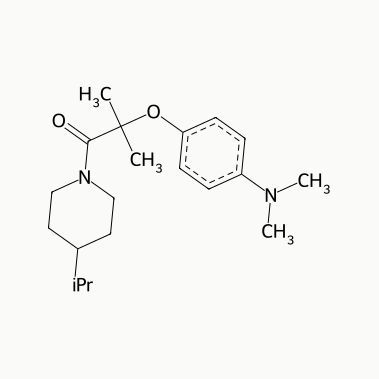 CC(C)C1CCN(C(=O)C(C)(C)Oc2ccc(N(C)C)cc2)CC1